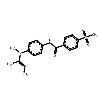 CN=C(C)N(C)c1ccc(NC(=O)c2ccc(S(C)(=O)=O)cc2)cc1